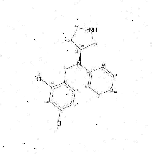 Clc1ccc(CN(C2=CCSC=C2)[C@H]2CCNC2)c(Cl)c1